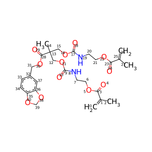 C=C(C)C(=O)OCCNC(=O)OCC(C)(COC(=O)NCCOC(=O)C(=C)C)C(=O)OCc1ccc2c(c1)OCO2